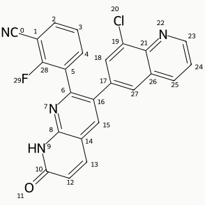 N#Cc1cccc(-c2nc3[nH]c(=O)ccc3cc2-c2cc(Cl)c3ncccc3c2)c1F